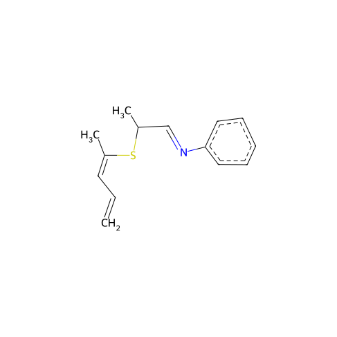 C=C/C=C(/C)SC(C)/C=N/c1ccccc1